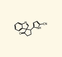 N#Cc1ccc(C2CCC(=O)C23C=Nc2ccccc23)[nH]1